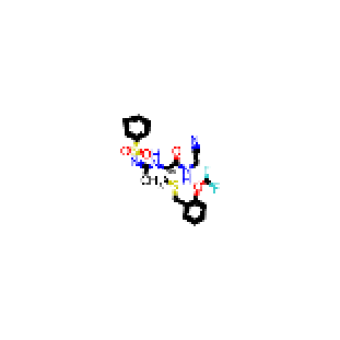 CC(=NS(=O)(=O)c1ccccc1)N[C@@H](CSCc1ccccc1OC(F)F)C(=O)NCC#N